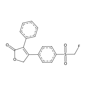 O=C1OCC(c2ccc(S(=O)(=O)CF)cc2)=C1c1ccccc1